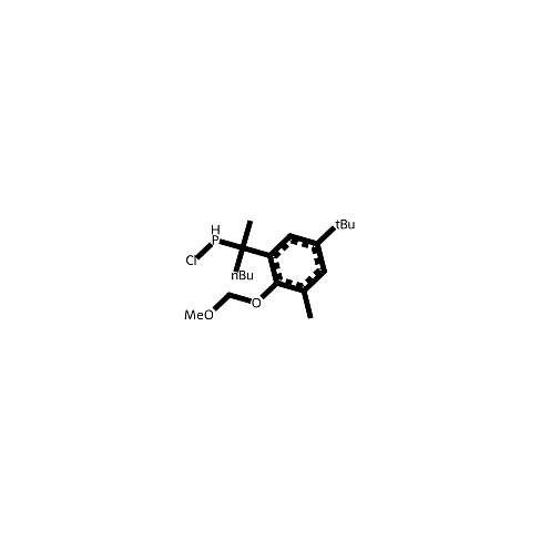 CCCCC(C)(PCl)c1cc(C(C)(C)C)cc(C)c1OCOC